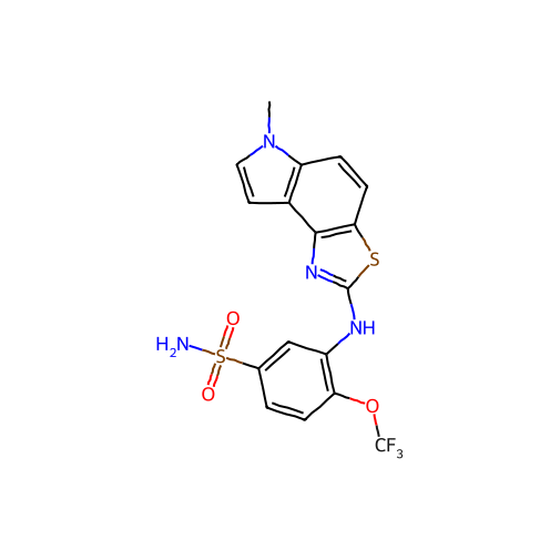 Cn1ccc2c3nc(Nc4cc(S(N)(=O)=O)ccc4OC(F)(F)F)sc3ccc21